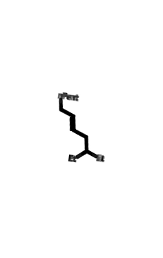 CCCCCC/C=C/CC(CC)CC